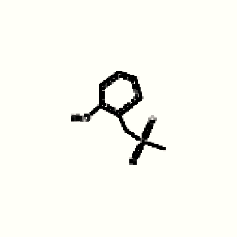 COc1cc[c]cc1CS(C)(=O)=O